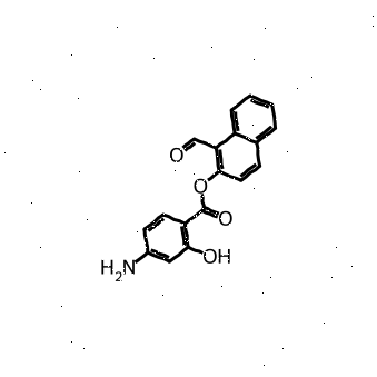 Nc1ccc(C(=O)Oc2ccc3ccccc3c2C=O)c(O)c1